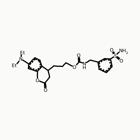 CCN(CC)c1ccc2c(c1)OC(=O)CC2CCCOC(=O)NCc1cccc(S(N)(=O)=O)c1